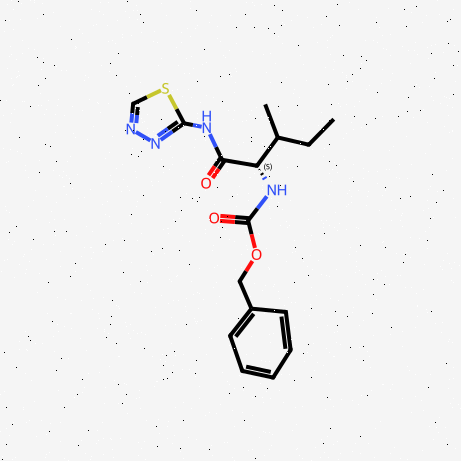 CCC(C)[C@H](NC(=O)OCc1ccccc1)C(=O)Nc1nncs1